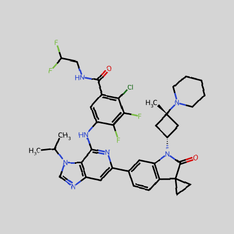 CC(C)n1cnc2cc(-c3ccc4c(c3)N([C@H]3C[C@@](C)(N5CCCCC5)C3)C(=O)C43CC3)nc(Nc3cc(C(=O)NCC(F)F)c(Cl)c(F)c3F)c21